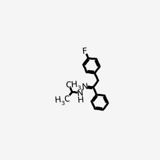 CC(C)NN=C(Cc1ccc(F)cc1)c1ccccc1